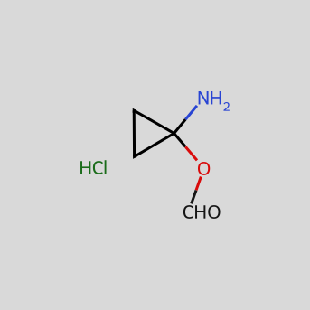 Cl.NC1(OC=O)CC1